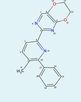 Cc1ccc(-c2ncc3c(n2)OCCO3)nc1-c1ccccc1